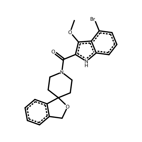 COc1c(C(=O)N2CCC3(CC2)OCc2ccccc23)[nH]c2cccc(Br)c12